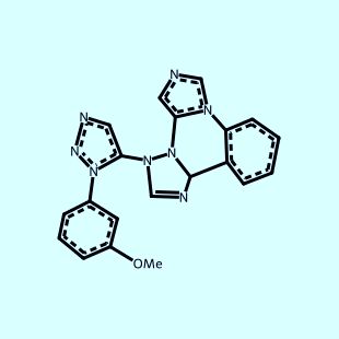 COc1cccc(-n2nncc2N2C=NC3c4ccccc4-n4cncc4N32)c1